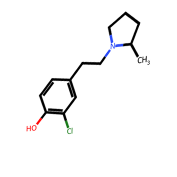 CC1CCCN1CCc1ccc(O)c(Cl)c1